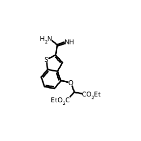 CCOC(=O)C(Oc1cccc2sc(C(=N)N)cc12)C(=O)OCC